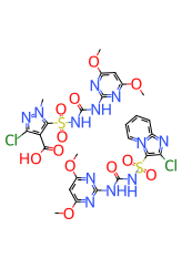 COc1cc(OC)nc(NC(=O)NS(=O)(=O)c2c(C(=O)O)c(Cl)nn2C)n1.COc1cc(OC)nc(NC(=O)NS(=O)(=O)c2c(Cl)nc3ccccn23)n1